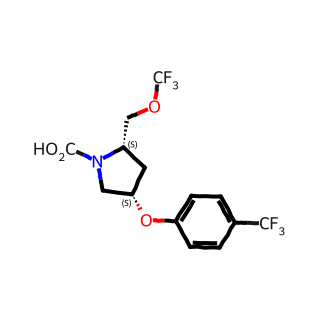 O=C(O)N1C[C@@H](Oc2ccc(C(F)(F)F)cc2)C[C@H]1COC(F)(F)F